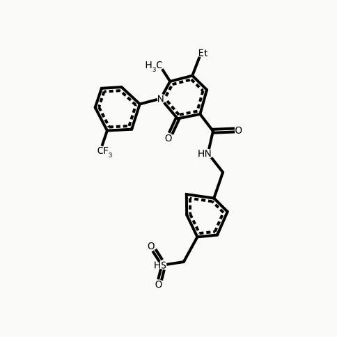 CCc1cc(C(=O)NCc2ccc(C[SH](=O)=O)cc2)c(=O)n(-c2cccc(C(F)(F)F)c2)c1C